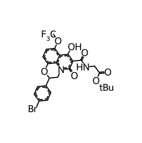 CC(C)(C)OC(=O)CNC(=O)c1c(O)c2c(OC(F)(F)F)ccc3c2n(c1=O)CC(c1ccc(Br)cc1)O3